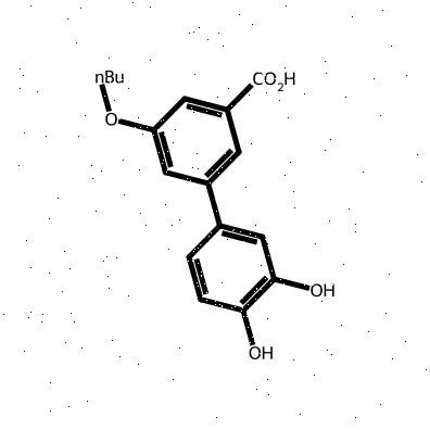 CCCCOc1cc(C(=O)O)cc(-c2ccc(O)c(O)c2)c1